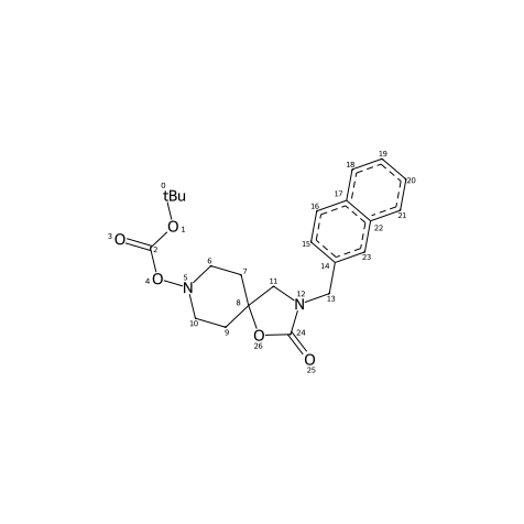 CC(C)(C)OC(=O)ON1CCC2(CC1)CN(Cc1ccc3ccccc3c1)C(=O)O2